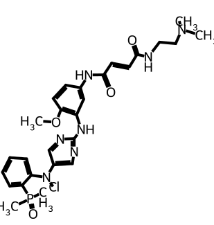 COc1ccc(NC(=O)/C=C/C(=O)NCCN(C)C)cc1Nc1ncc(N(Cl)c2ccccc2P(C)(C)=O)cn1